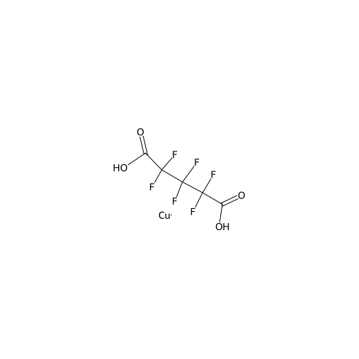 O=C(O)C(F)(F)C(F)(F)C(F)(F)C(=O)O.[Cu]